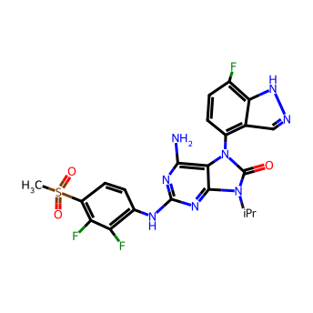 CC(C)n1c(=O)n(-c2ccc(F)c3[nH]ncc23)c2c(N)nc(Nc3ccc(S(C)(=O)=O)c(F)c3F)nc21